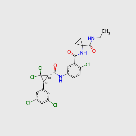 CCNC(=O)C1(NC(=O)c2cc(NC(=O)[C@@H]3[C@@H](c4cc(Cl)cc(Cl)c4)C3(Cl)Cl)ccc2Cl)CC1